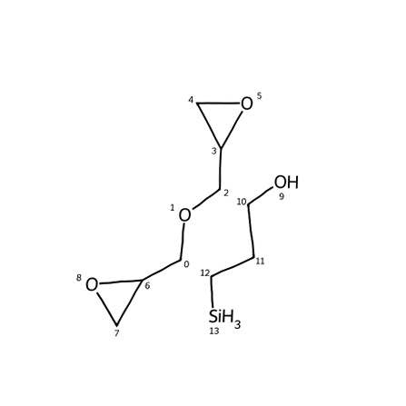 C(OCC1CO1)C1CO1.OCCC[SiH3]